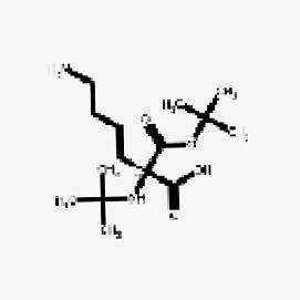 CC(C)(C)N[C@@](CCCCN)(C(=O)O)C(=O)OC(C)(C)C